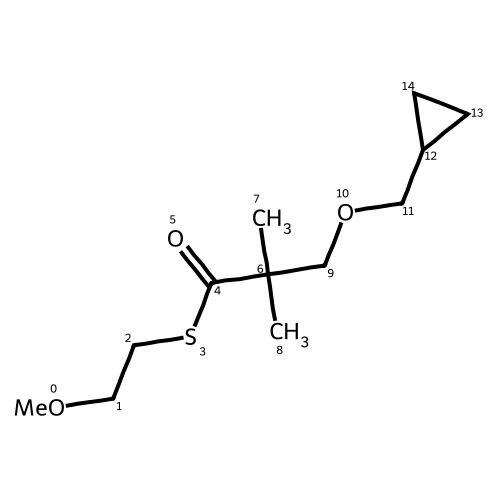 COCCSC(=O)C(C)(C)COCC1CC1